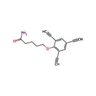 C#Cc1cc(C#C)c(OCCCCC(=O)P)c(C#C)c1